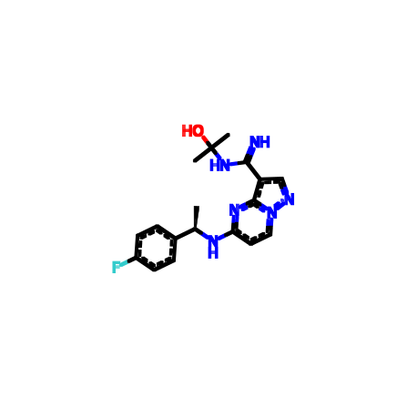 C[C@@H](Nc1ccn2ncc(C(=N)NC(C)(C)O)c2n1)c1ccc(F)cc1